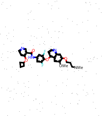 CNCCCOc1cc2nccc(Oc3c(F)cc(NC(=O)c4cnccc4OC4CCC4)cc3F)c2cc1OC